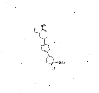 C=CC(CC(=C)c1ccc(-c2ccc(CC)c(NC)c2)cc1)C(=C)CCC